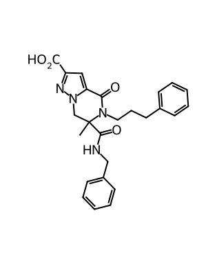 CC1(C(=O)NCc2ccccc2)Cn2nc(C(=O)O)cc2C(=O)N1CCCc1ccccc1